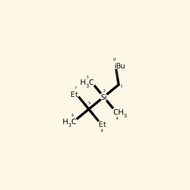 CCC(C)C[Si](C)(C)C(C)(CC)CC